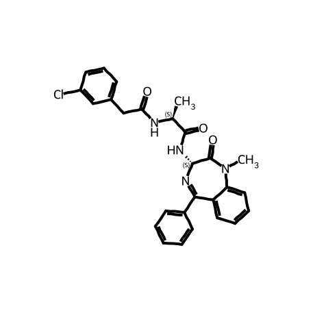 C[C@H](NC(=O)Cc1cccc(Cl)c1)C(=O)N[C@H]1N=C(c2ccccc2)c2ccccc2N(C)C1=O